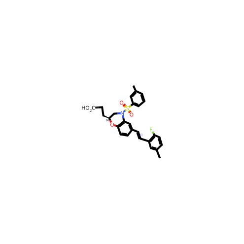 Cc1cccc(S(=O)(=O)N2C[C@H](CCC(=O)O)Oc3ccc(/C=C/c4cc(C)ccc4F)cc32)c1